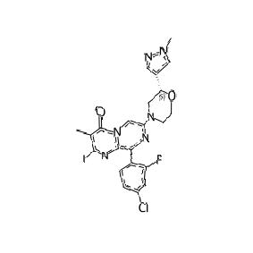 Cc1c(I)nc2c(-c3ccc(Cl)cc3F)nc(N3CCO[C@@H](c4cnn(C)c4)C3)cn2c1=O